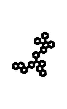 c1ccc(-c2c(-c3ccccc3)c3cc(-c4cccc(N(c5ccc(-c6cccc7c6ccc6ccccc67)cc5)c5cccc6c5ccc5ccccc56)c4)ccc3c3ccccc23)cc1